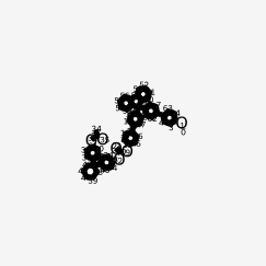 COc1ccc(-c2ccc(C3(c4ccc(-c5ccc(OC(=O)Oc6ccc(C7(c8ccc(OC(C)=O)cc8)CCCCC7)cc6)cc5)cc4)c4ccccc4-c4ccccc43)cc2)cc1